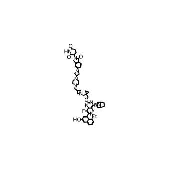 CCc1cccc2cc(O)cc(-c3ncc4c(N5CC6CCC(C5)N6)nc(OCC5(CN6CC(CN7CCN(C8CN(c9ccc%10c(c9)CN(C9CCC(=O)NC9=O)C%10=O)C8)CC7)C6)CC5)nc4c3F)c12